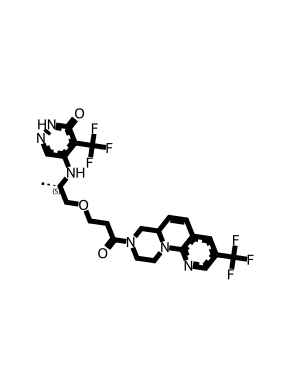 C[C@@H](COCCC(=O)N1CCN2c3ncc(C(F)(F)F)cc3C=CC2C1)Nc1cn[nH]c(=O)c1C(F)(F)F